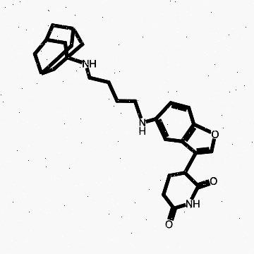 O=C1CCC(c2coc3ccc(NCCCCNC45CC6CC(CC(C6)C4)C5)cc23)C(=O)N1